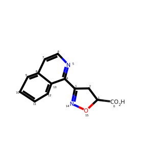 O=C(O)C1CC(c2nccc3ccccc23)=NO1